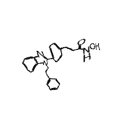 O=C(C=Cc1ccc(-c2nc3ccccc3n2CCc2ccccc2)cc1)NO